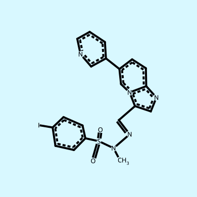 CN(N=Cc1cnc2ccc(-c3cccnc3)cn12)S(=O)(=O)c1ccc(I)cc1